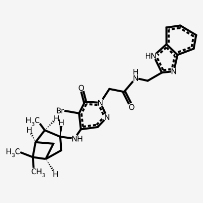 C[C@@H]1[C@H]2C[C@@H](C[C@H]1Nc1cnn(CC(=O)NCc3nc4ccccc4[nH]3)c(=O)c1Br)C2(C)C